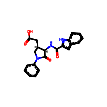 O=C(O)C[C@@H]1CN(c2ccccc2)C(=O)[C@@H]1NC(=O)c1cc2ccccc2[nH]1